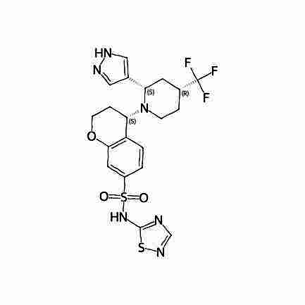 O=S(=O)(Nc1ncns1)c1ccc2c(c1)OCC[C@@H]2N1CC[C@@H](C(F)(F)F)C[C@H]1c1cn[nH]c1